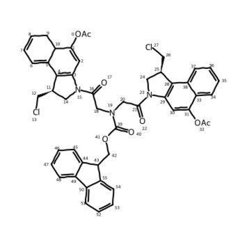 CC(=O)OC1=CC2=C(C3=CC=CCC13)[C@H](CCl)CN2C(=O)CN(CC(=O)N1C[C@@H](CCl)c2c1cc(OC(C)=O)c1ccccc21)C(=O)OCC1c2ccccc2-c2ccccc21